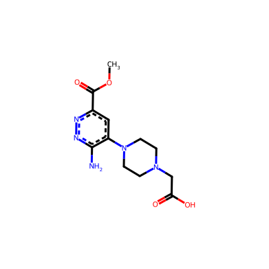 COC(=O)c1cc(N2CCN(CC(=O)O)CC2)c(N)nn1